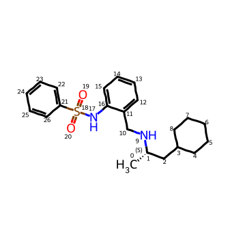 C[C@@H](CC1CCCCC1)NCc1ccccc1NS(=O)(=O)c1ccccc1